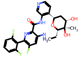 CC[C@@H]1O[C@H](c2ccncc2NC(=O)c2nc(-c3c(F)cccc3F)c(F)cc2N)C[C@H](O)[C@@]1(C)O